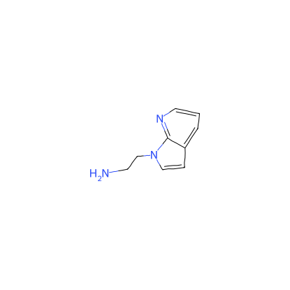 NCCn1ccc2cccnc21